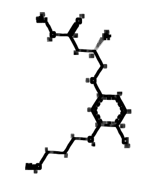 COCCCOc1cc(OC[C@H](CC(=O)OC(C)(C)C)C(C)C)ccc1Cl